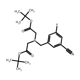 CC(C)(C)OC(=O)CN(CC(=O)OC(C)(C)C)Cc1cc(F)cc(C#N)c1